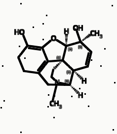 CN1CC[C@]23C4=C5CCC(O)=C4O[C@H]2[C@@](C)(O)C=C[C@H]3[C@H]1C5